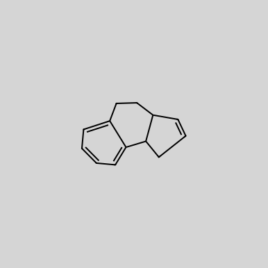 C1=CC2CCc3ccccc3C2C1